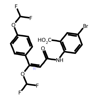 O=C(/C=C(/OC(F)F)c1ccc(OC(F)F)cc1)Nc1ccc(Br)cc1C(=O)O